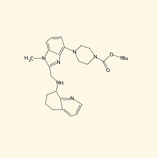 Cn1c(CNC2CCCc3cccnc32)nc2c(N3CCN(C(=O)OC(C)(C)C)CC3)cccc21